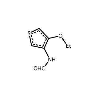 CCOc1cscc1NC=O